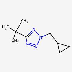 CC(C)(C)c1nnn(CC2CC2)n1